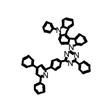 c1ccc(-c2cc(-c3ccccc3)nc(-c3ccc(-c4nc(-c5ccccc5)nc(-n5c6ccccc6c6c7c8ccccc8n(-c8ccccc8)c7ccc65)n4)cc3)c2)cc1